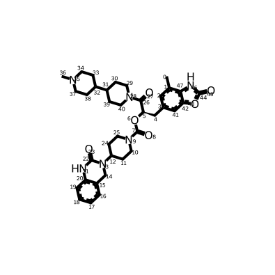 Cc1cc(C[C@@H](OC(=O)N2CCC(N3Cc4ccccc4NC3=O)CC2)C(=O)N2CCC(C3CCN(C)CC3)CC2)cc2oc(=O)[nH]c12